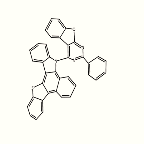 c1ccc(-c2nc(-n3c4ccccc4c4c5sc6ccccc6c5c5ccccc5c43)c3c(n2)oc2ccccc23)cc1